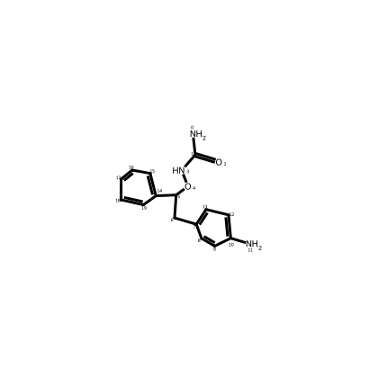 NC(=O)NOC(Cc1ccc(N)cc1)c1ccccc1